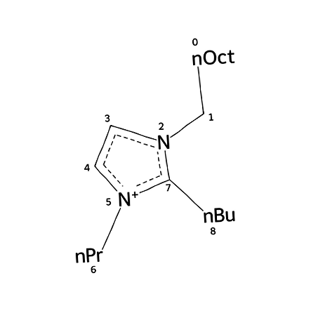 CCCCCCCCCn1cc[n+](CCC)c1CCCC